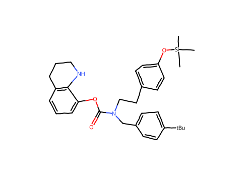 CC(C)(C)c1ccc(CN(CCc2ccc(O[Si](C)(C)C)cc2)C(=O)Oc2cccc3c2NCCC3)cc1